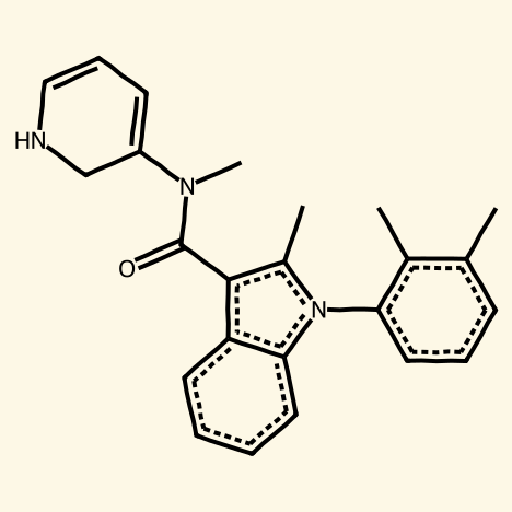 Cc1cccc(-n2c(C)c(C(=O)N(C)C3=CC=CNC3)c3ccccc32)c1C